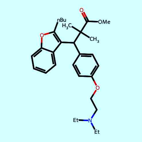 CCCCc1oc2ccccc2c1C(c1ccc(OCCN(CC)CC)cc1)C(C)(C)C(=O)OC